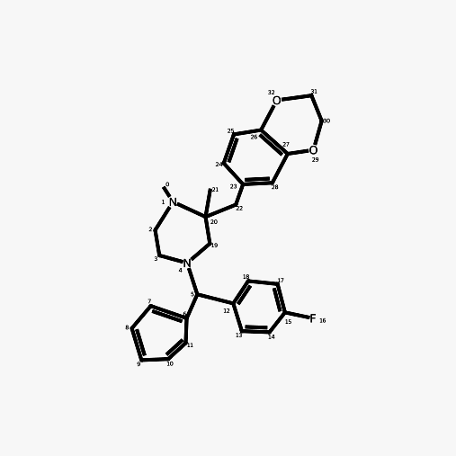 CN1CCN(C(c2ccccc2)c2ccc(F)cc2)CC1(C)Cc1ccc2c(c1)OCCO2